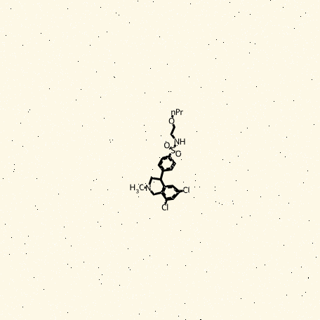 CCCOCCNS(=O)(=O)c1ccc(C2CN(C)Cc3c(Cl)cc(Cl)cc32)cc1